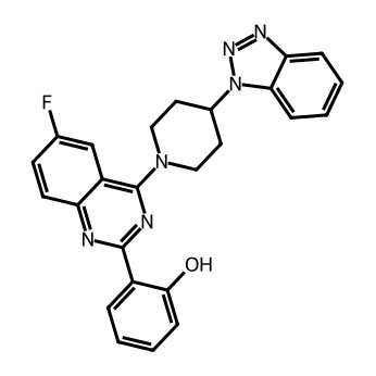 Oc1ccccc1-c1nc(N2CCC(n3nnc4ccccc43)CC2)c2cc(F)ccc2n1